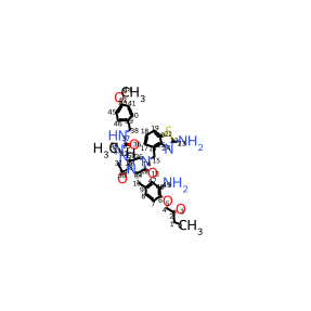 CCC(=O)COc1ccc(C[C@H]2C(=O)N(Cc3cccc4sc(N)nc34)C[C@H]3N2C(=O)CN3N(C)C(=O)NCc2ccc(OC)cc2)cc1N